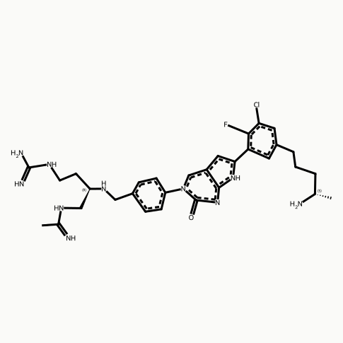 CC(=N)NC[C@@H](CCNC(=N)N)NCc1ccc(-n2cc3cc(-c4cc(CCC[C@H](C)N)cc(Cl)c4F)[nH]c3nc2=O)cc1